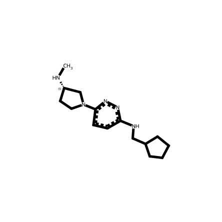 CN[C@H]1CCN(c2ccc(NCC3CCCC3)nn2)C1